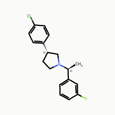 C[C@@H](c1cccc(F)c1)N1CC[C@H](c2ccc(Cl)cc2)C1